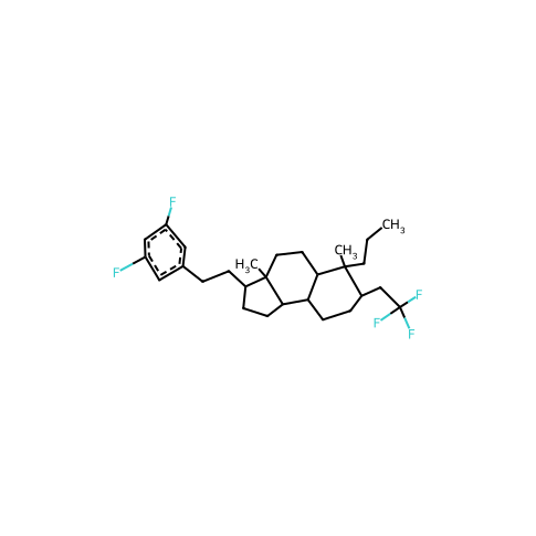 CCCC1(C)C(CC(F)(F)F)CCC2C3CCC(CCc4cc(F)cc(F)c4)C3(C)CCC21